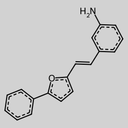 Nc1cccc(C=Cc2ccc(-c3ccccc3)o2)c1